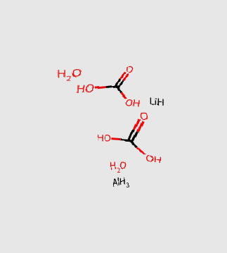 O.O.O=C(O)O.O=C(O)O.[AlH3].[LiH]